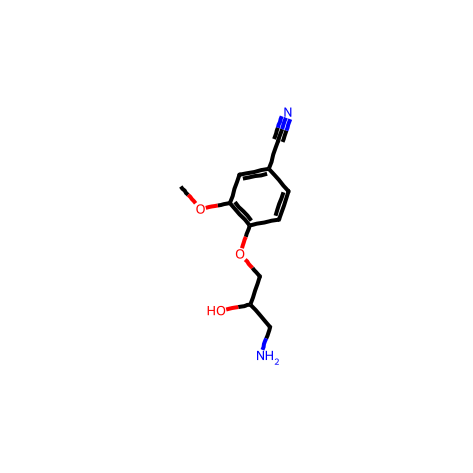 COc1cc(C#N)ccc1OCC(O)CN